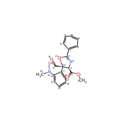 COC(=O)[C@@H]1N=C(c2ccccc2)O[C@@]1(C=O)c1ccccc1N(C)I